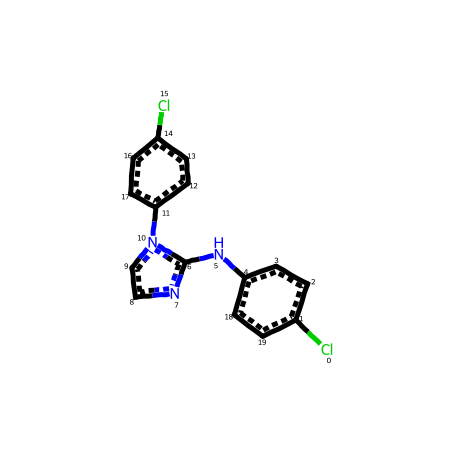 Clc1ccc(Nc2nccn2-c2ccc(Cl)cc2)cc1